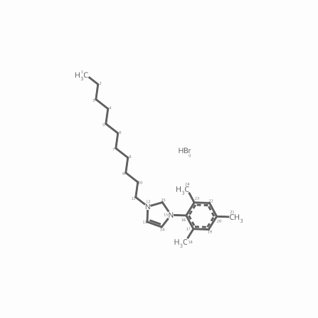 Br.CCCCCCCCCCCN1C=CN(c2c(C)cc(C)cc2C)C1